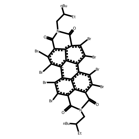 CCCCC(CC)CN1C(=O)c2c(Br)c(Br)c3c4c(Br)c(Br)c5c6c(c(Br)c(Br)c(c7c(Br)c(Br)c(c2c37)C1=O)c64)C(=O)N(CC(CC)CCCC)C5=O